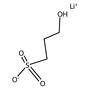 O=S(=O)([O-])CCCO.[Li+]